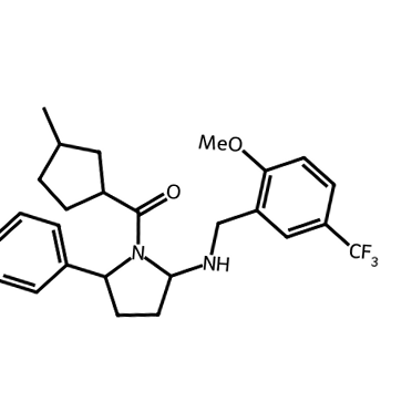 COc1ccc(C(F)(F)F)cc1CNC1CCC(c2ccccc2)N1C(=O)C1CCC(C)C1